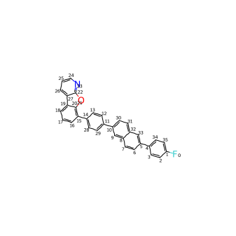 Fc1ccc(-c2ccc3cc(-c4ccc(-c5cccc6c5oc5ncccc56)cc4)ccc3c2)cc1